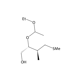 CCOC(C)O[C@@H](CO)[C@H](C)CSC